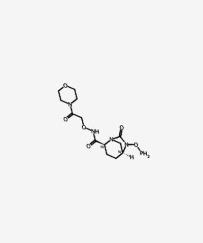 O=C(NOCC(=O)N1CCOCC1)[C@@H]1CC[C@H]2CN1C(=O)N2OP